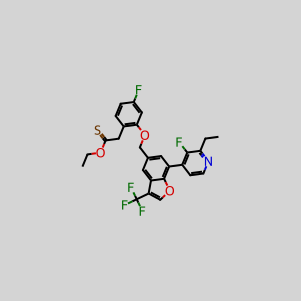 CCOC(=S)Cc1ccc(F)cc1OCc1cc(-c2ccnc(CC)c2F)c2occ(C(F)(F)F)c2c1